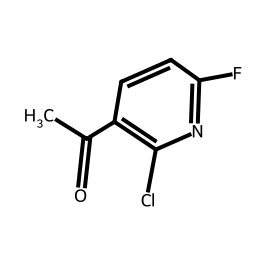 CC(=O)c1ccc(F)nc1Cl